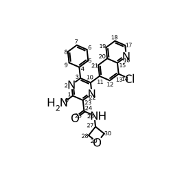 Nc1nc(-c2ccccc2)c(-c2cc(Cl)c3ncccc3c2)nc1C(=O)NC1COC1